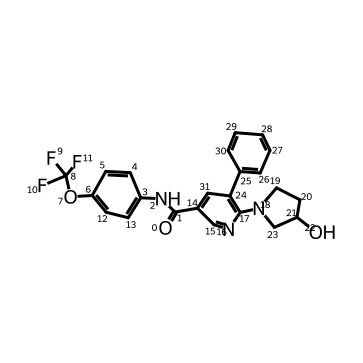 O=C(Nc1ccc(OC(F)(F)F)cc1)c1cnc(N2CCC(O)C2)c(-c2ccccc2)c1